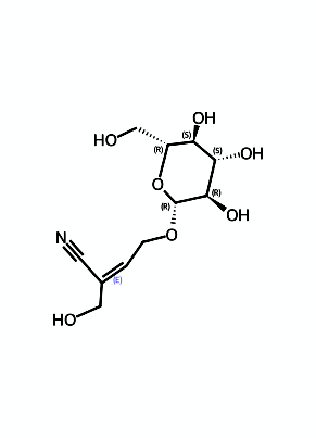 N#C/C(=C\CO[C@@H]1O[C@H](CO)[C@@H](O)[C@H](O)[C@H]1O)CO